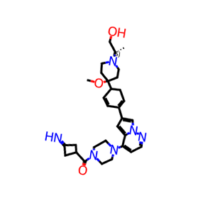 COC1(C2C=CC(c3cc4c(N5CCN(C(=O)C6CC(=N)C6)CC5)ccnn4c3)=CC2)CCN([C@@H](C)CO)CC1